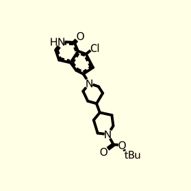 CC(C)(C)OC(=O)N1CCC(C2CCN(c3cc(Cl)c4c(=O)[nH]ccc4c3)CC2)CC1